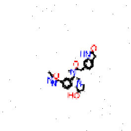 Cc1nnc(-c2cccc([C@@H](CN3CC[C@H](O)C3)N(C)C(=O)Cc3ccc4c(c3)NC(=O)C4)c2)o1